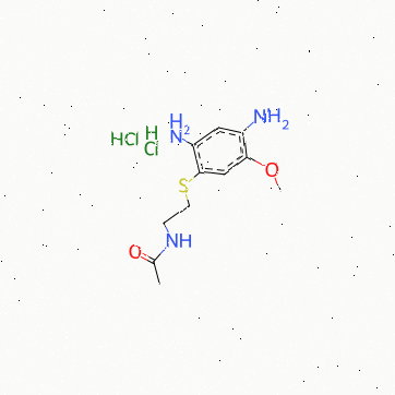 COc1cc(SCCNC(C)=O)c(N)cc1N.Cl.Cl